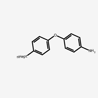 CCCCCCCc1ccc(Oc2ccc(N)cc2)cc1